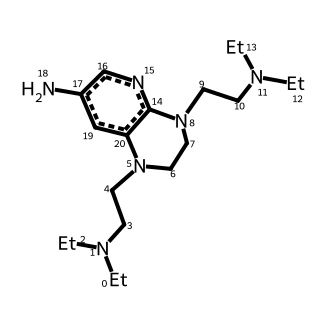 CCN(CC)CCN1CCN(CCN(CC)CC)c2ncc(N)cc21